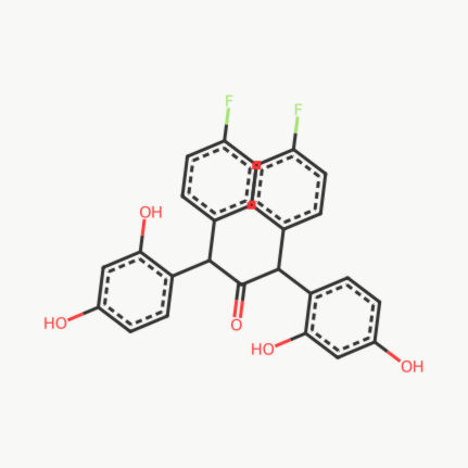 O=C(C(c1ccc(F)cc1)c1ccc(O)cc1O)C(c1ccc(F)cc1)c1ccc(O)cc1O